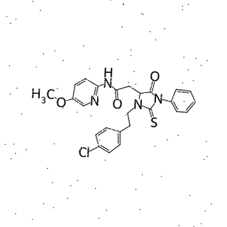 COc1ccc(NC(=O)CC2C(=O)N(c3ccccc3)C(=S)N2CCc2ccc(Cl)cc2)nc1